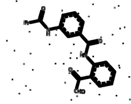 CC(C)C(=O)Nc1cccc(C(=O)Nc2ccccc2C(=O)C=O)c1